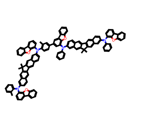 Cc1ccccc1N(c1ccc2cc3c(cc2c1)C(C)(C)c1cc2cc(N(c4ccc(-c5cc(N(c6ccccc6)c6ccc7cc8c(cc7c6)C(C)(C)c6cc7cc(N(c9ccccc9)c9cccc%10c9oc9ccccc9%10)ccc7cc6-8)c6oc7ccccc7c6c5)cc4C)c4cccc5c4oc4ccccc45)ccc2cc1-3)c1cccc2c1oc1ccccc12